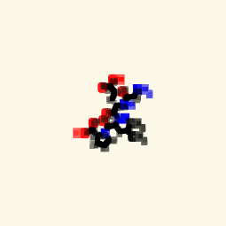 CC(C)C[C@H](NC(=O)[C@H](CCC(=O)O)NC(=O)CN)C(=O)N1CCC[C@H]1C(=O)O